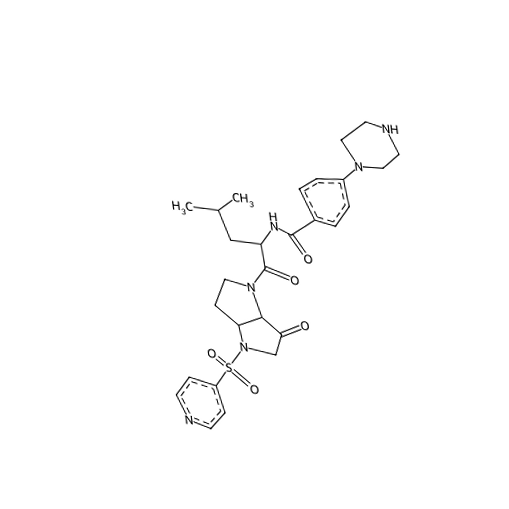 CC(C)CC(NC(=O)c1ccc(N2CCNCC2)cc1)C(=O)N1CCC2C1C(=O)CN2S(=O)(=O)c1ccncc1